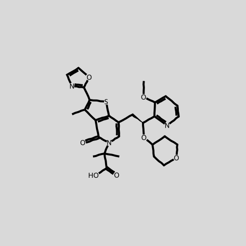 COc1cccnc1[C@H](Cc1cn(C(C)(C)C(=O)O)c(=O)c2c(C)c(-c3ncco3)sc12)OC1CCOCC1